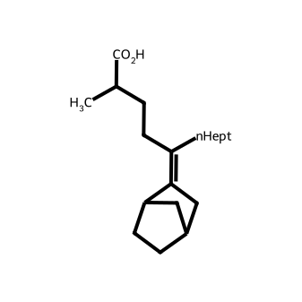 CCCCCCCC(CCC(C)C(=O)O)=C1CC2CCC1C2